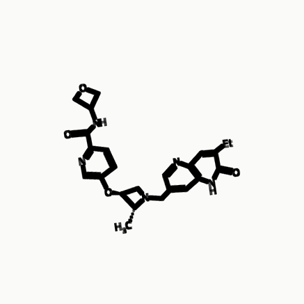 CCc1cc2ncc(CN3C[C@H](Oc4ccc(C(=O)NC5COC5)nc4)[C@H]3C)cc2[nH]c1=O